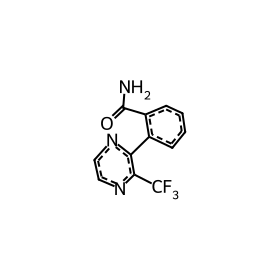 NC(=O)c1ccccc1-c1nccnc1C(F)(F)F